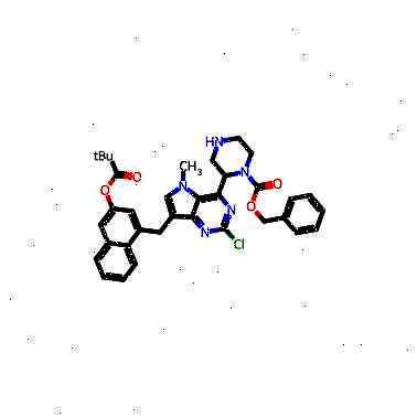 Cn1cc(Cc2cc(OC(=O)C(C)(C)C)cc3ccccc23)c2nc(Cl)nc(C3CNCCN3C(=O)OCc3ccccc3)c21